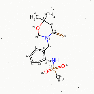 CC1(C)CC(=S)N(Cc2ccccc2NS(=O)(=O)C(F)(F)F)CO1